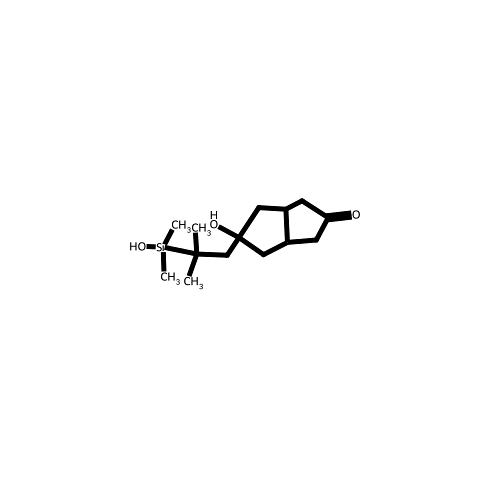 CC(C)(CC1(O)CC2CC(=O)CC2C1)[Si](C)(C)O